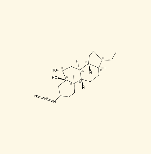 CC[C@H]1CC[C@H]2[C@@H]3C[C@@H](O)[C@@]4(O)CC(N=[N+]=[N-])CC[C@]4(C)[C@H]3CC[C@]12C